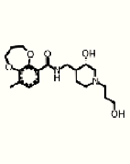 Cc1ccc(C(=O)NCC2CCN(CCCO)C[C@H]2O)c2c1OCCCO2